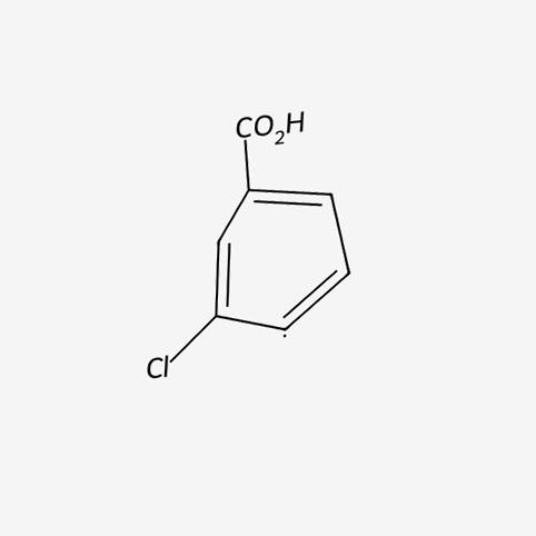 O=C(O)c1cc[c]c(Cl)c1